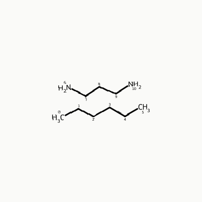 CCCCCC.NCCCN